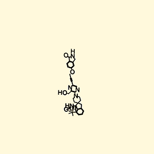 CC1(C)c2cccc3c2[C@@H](N[S+]1[O-])C1(CCN(c2ncc(C#CCOc4ccc5c(c4)CNC5=O)nc2CO)CC1)C3